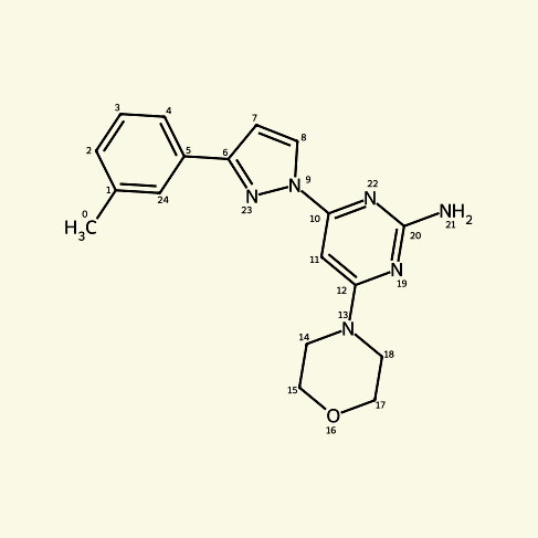 Cc1cccc(-c2ccn(-c3cc(N4CCOCC4)nc(N)n3)n2)c1